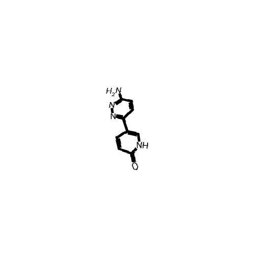 Nc1ccc(-c2ccc(=O)[nH]c2)nn1